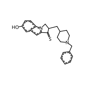 Oc1ccc2c(c1)cc1n2CC(CC2CCN(Cc3ccccc3)CC2)C1=S